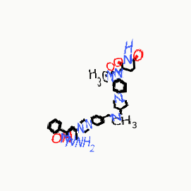 CN(Cc1ccc(N2CCN(c3cc(-c4ccccc4O)nnc3N)CC2)cc1)CC1CCN(c2ccc3c(c2)n(C)c(=O)n3C2CCC(=O)NC2=O)CC1